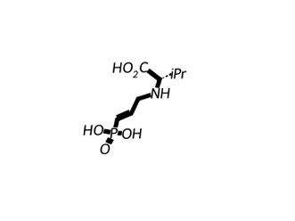 CC(C)[C@H](NCC=CP(=O)(O)O)C(=O)O